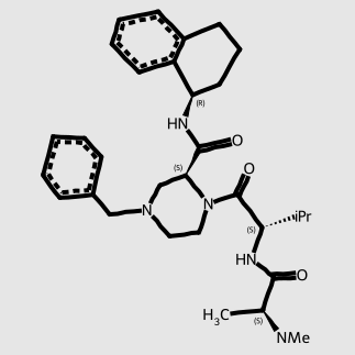 CN[C@@H](C)C(=O)N[C@H](C(=O)N1CCN(Cc2ccccc2)C[C@H]1C(=O)N[C@@H]1CCCc2ccccc21)C(C)C